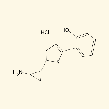 Cl.NC1CC1c1ccc(-c2ccccc2O)s1